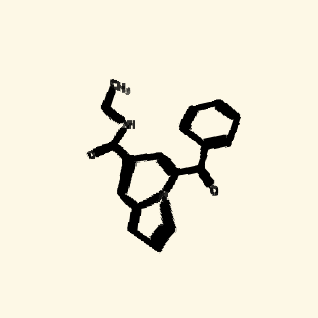 CCNC(=O)c1cc(C(=O)c2ccccc2)n2cccc2c1